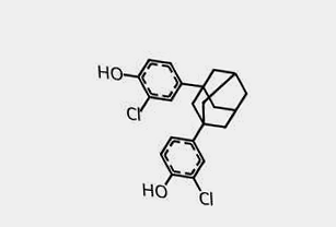 Oc1ccc(C23CC4CC(C2)CC(c2ccc(O)c(Cl)c2)(C4)C3)cc1Cl